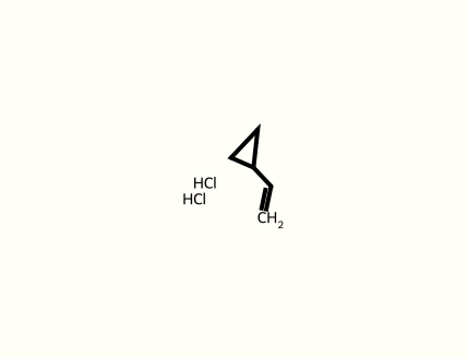 C=CC1CC1.Cl.Cl